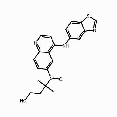 CC(C)(CCO)[S+]([O-])c1ccc2nccc(Nc3ccc4scnc4c3)c2c1